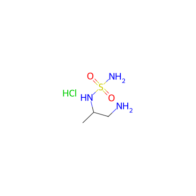 CC(CN)NS(N)(=O)=O.Cl